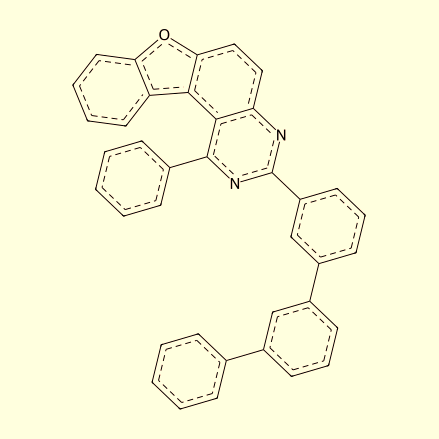 c1ccc(-c2cccc(-c3cccc(-c4nc(-c5ccccc5)c5c(ccc6oc7ccccc7c65)n4)c3)c2)cc1